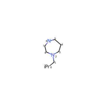 CC(C)CN1CCC[N]CC1